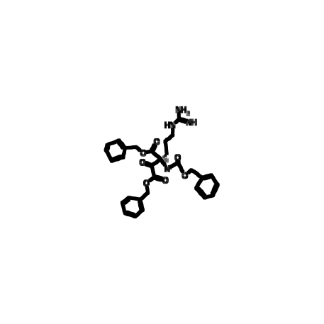 N=C(N)NCCC[C@@]([N]C(=O)OCc1ccccc1)(C(=O)OCc1ccccc1)C(=O)C(=O)OCc1ccccc1